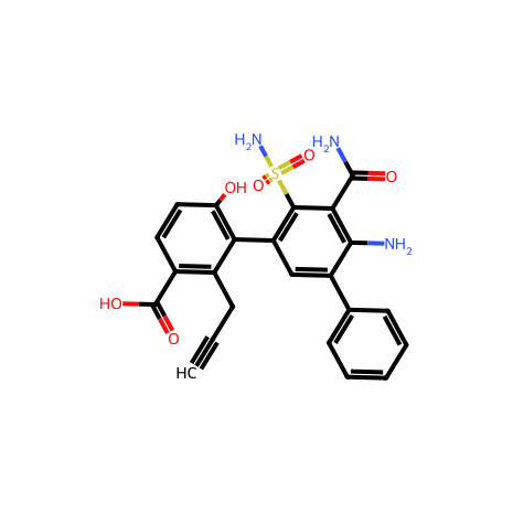 C#CCc1c(C(=O)O)ccc(O)c1-c1cc(-c2ccccc2)c(N)c(C(N)=O)c1S(N)(=O)=O